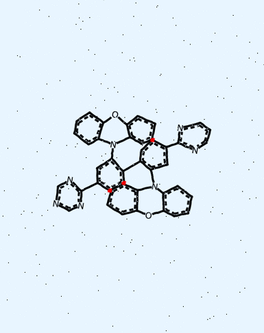 c1cnc(-c2ccc(-c3ccc(-c4ncncn4)cc3N3c4ccccc4Oc4ccccc43)c(N3c4ccccc4Oc4ccccc43)c2)nc1